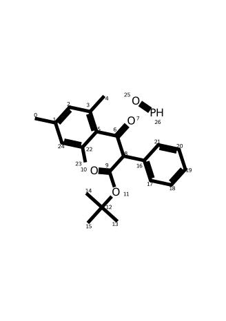 Cc1cc(C)c(C(=O)C(C(=O)OC(C)(C)C)c2ccccc2)c(C)c1.O=P